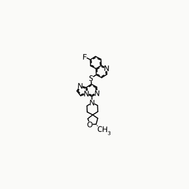 C[C@H]1CC2(CCN(c3ncc(Sc4ccnc5ccc(F)cc45)c4nccn34)CC2)CO1